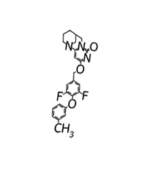 Cc1cccc(Oc2c(F)cc(COc3cc4n(c(=O)n3)CC3CCCN4C3)cc2F)c1